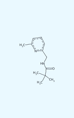 Cc1cccc(CNC(=O)C(C)(C)C)n1